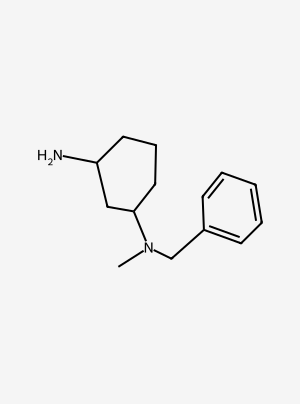 CN(Cc1ccccc1)C1CCCC(N)C1